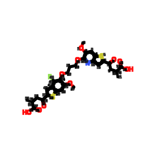 COc1cc2sc(C(=O)C[C@H](C)C(=O)O)cc2nc1OCCCOc1c(OC)cc2sc(C(=O)C[C@H](C)C(=O)O)cc2c1F